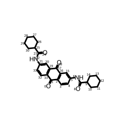 O=C1c2ccc(NC(=O)C3CCCCC3)cc2C(=O)c2cc(NC(=O)C3CCCCC3)ccc21